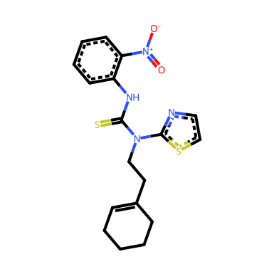 O=[N+]([O-])c1ccccc1NC(=S)N(CCC1=CCCCC1)c1nccs1